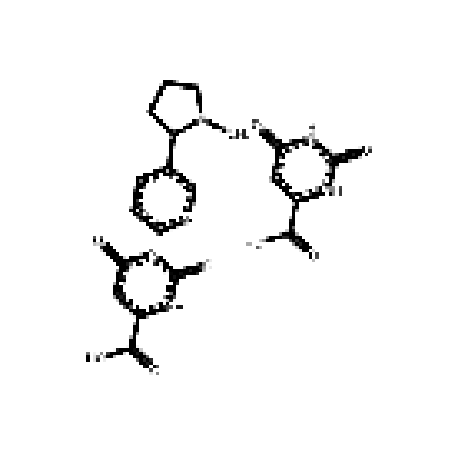 CN1CCCC1c1cccnc1.O=C(O)c1cc(=O)[nH]c(=O)[nH]1.O=C(O)c1cc(=O)[nH]c(=O)[nH]1